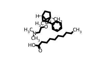 CCCCCCCCCC(=O)O.CN(C)CCO[C@]1(c2ccccc2)C[C@H]2CC[C@]1(C)C2(C)C